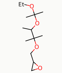 CCOC(C)(C)OC(C)C(C)(C)OCC1CO1